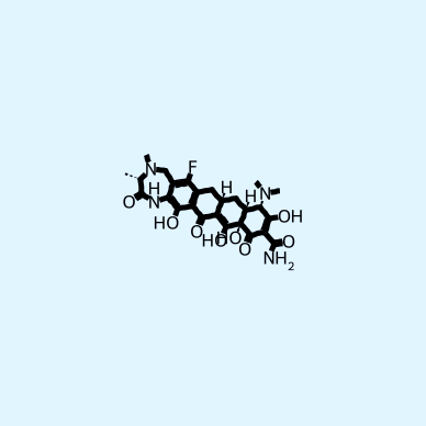 C[C@H]1C(=O)Nc2c(O)c3c(c(F)c2CN1C)C[C@H]1C[C@H]2[C@H](N(C)C)C(O)=C(C(N)=O)C(=O)[C@@]2(O)C(O)=C1C3=O